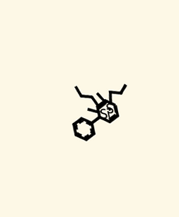 CCC[Si]1(C)C2C=CC(c3ccccc3)(C=C2)[Si]1(C)CCC